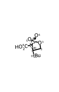 CC(C)(C)[C@@H]1COS(=O)(=O)N1C(=O)O